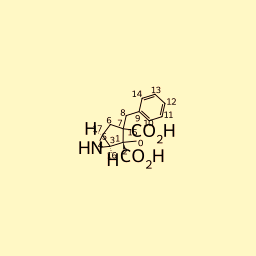 C[C@]1(C(=O)O)[C@H]2N[C@H]2CC1(Cc1ccccc1)C(=O)O